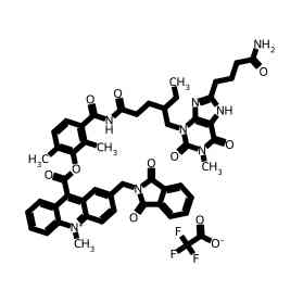 CCC(CCC(=O)NC(=O)c1ccc(C)c(OC(=O)c2c3ccccc3[n+](C)c3ccc(CN4C(=O)c5ccccc5C4=O)cc23)c1C)Cn1c(=O)n(C)c(=O)c2[nH]c(CCCC(N)=O)nc21.O=C([O-])C(F)(F)F